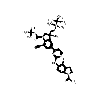 CC(=O)N1CCc2c1ccc(Nc1nccc(-c3cc(C#N)c4c(c3)C(C)(CO[Si](C)(C)C(C)(C)C)CN4C(=O)OC(C)(C)C)n1)c2F